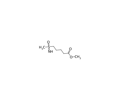 COC(=O)CCCCS(C)(=N)=O